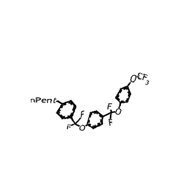 CCCCCc1ccc(C(F)(F)Oc2ccc(C(F)(F)Oc3ccc(OC(F)(F)F)cc3)cc2)cc1